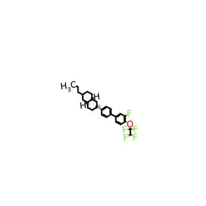 CCCC1CC[C@@H]2C[C@H](c3ccc(-c4ccc(OC(F)(F)C(F)F)c(F)c4)cc3)CC[C@@H]2C1